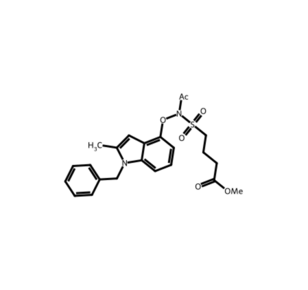 COC(=O)CCCS(=O)(=O)N(Oc1cccc2c1cc(C)n2Cc1ccccc1)C(C)=O